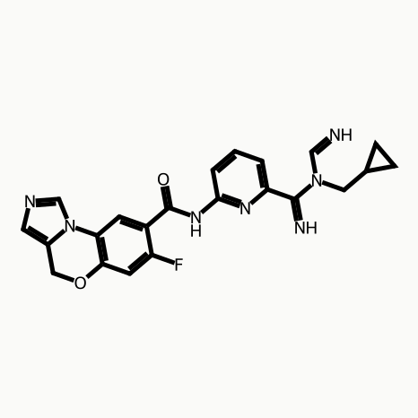 N=CN(CC1CC1)C(=N)c1cccc(NC(=O)c2cc3c(cc2F)OCc2cncn2-3)n1